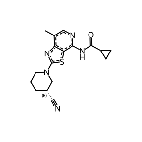 Cc1cnc(NC(=O)C2CC2)c2sc(N3CCC[C@@H](C#N)C3)nc12